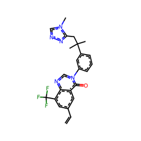 C=Cc1cc(C(F)(F)F)c2ncn(-c3cccc(C(C)(C)Cc4nncn4C)c3)c(=O)c2c1